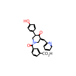 O=C(O)c1cccc(C(=O)N2CC(=Cc3ccccn3)C(=O)C(c3ccc(O)cc3)C2)c1